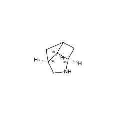 C1N[C@@H]2CC3C[C@H]1[C@@H]32